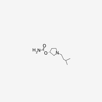 CC(C)CCN1CC[C@@H](OC(N)=O)C1